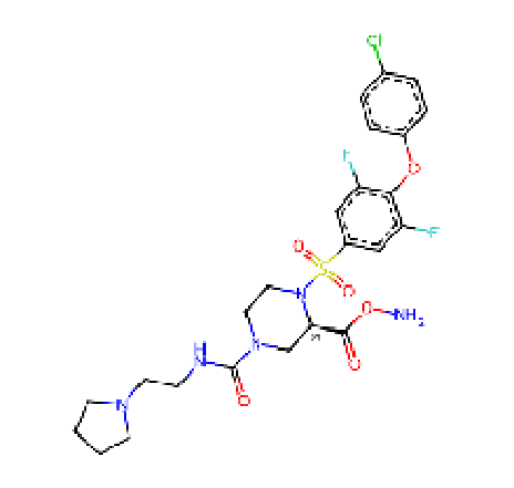 NOC(=O)[C@H]1CN(C(=O)NCCN2CCCC2)CCN1S(=O)(=O)c1cc(F)c(Oc2ccc(Cl)cc2)c(F)c1